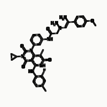 COc1ccc(/C(N)=C/N(N)CC(=O)Nc2cccc(-n3c(=O)n(C4CC4)c(=O)c4c(Nc5ccc(C)cc5F)[nH]c(=O)c(C)c43)c2)cc1